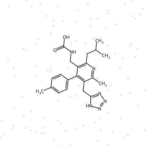 Cc1ccc(-c2c(Cc3nnn[nH]3)c(C)nc(CC(C)C)c2CNC(=O)O)cc1